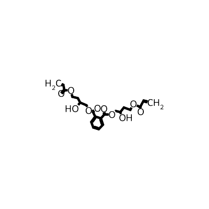 C=CC(=O)OCCC(O)COC(=O)c1ccccc1C(=O)OCC(O)CCOC(=O)C=C